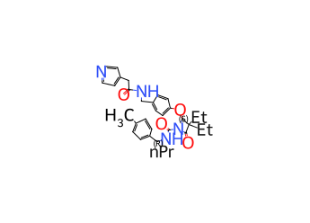 CCC[C@@H](NC(=O)N1C(=O)C(CC)(CC)[C@@H]1Oc1ccc(CNC(=O)Cc2ccncc2)cc1)c1ccc(C)cc1